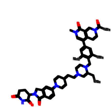 CNC(=O)N1CCc2c(-c3cc(OC)c(CN4CCN(CCC5CCN(c6ccc7c(c6)CN(C6CCC(=O)NC6=O)C7=O)CC5)CC4COC)c(OC)c3)cn(C)c(=O)c2C1